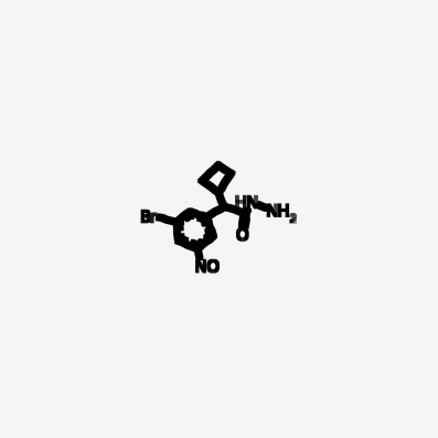 NNC(=O)C(c1cc(Br)cc(N=O)c1)C1CCC1